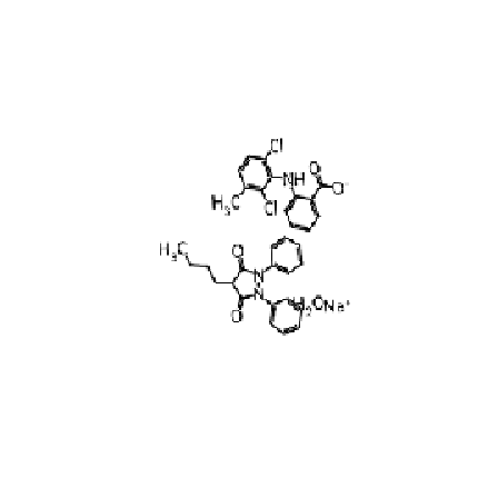 CCCCC1C(=O)N(c2ccccc2)N(c2ccccc2)C1=O.Cc1ccc(Cl)c(Nc2ccccc2C(=O)[O-])c1Cl.O.[Na+]